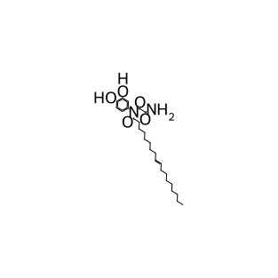 CCCCCCCCC=CCCCCCCCC(=O)N(C(=O)C(N)=O)c1ccc(O)c(O)c1